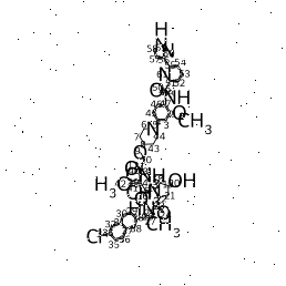 COc1cc(N2CCC(OCC(=O)N[C@H](C(=O)N3C[C@H](O)C[C@H]3C(=O)N[C@@H](C)c3ccc4cc(Cl)ccc4c3)C(C)(C)C)CC2)ccc1NC(=O)c1cccc(-c2cc[nH]n2)n1